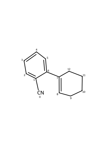 N#Cc1ccccc1C1=CCCCC1